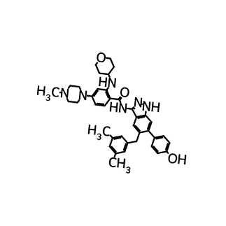 Cc1cc(C)cc(Cc2cc3c(NC(=O)c4ccc(N5CCN(C)CC5)cc4NC4CCOCC4)n[nH]c3cc2-c2ccc(O)cc2)c1